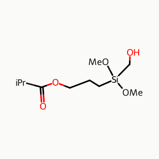 CO[Si](CO)(CCCOC(=O)C(C)C)OC